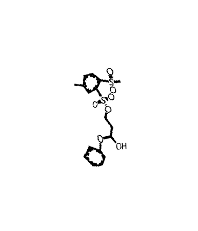 Cc1ccc(S(C)(=O)=O)c(S(=O)(=O)OCCC(O)Oc2ccccc2)c1